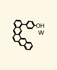 Oc1ccc(-c2cccc3cc4ccc5cc6ccccc6cc5c4cc23)cc1.[W]